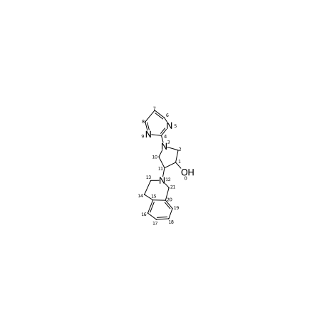 OC1CN(c2ncccn2)CC1N1CCc2ccccc2C1